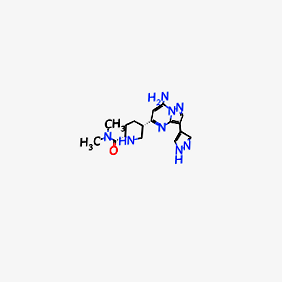 CN(C)C(=O)[C@@H]1CC[C@H](c2cc(N)n3ncc(-c4cn[nH]c4)c3n2)CN1